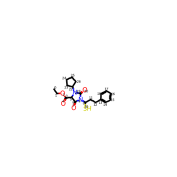 CCOC(=O)C1C(=O)N(C(S)CCc2ccccc2)C(=O)N1C1CCCC1